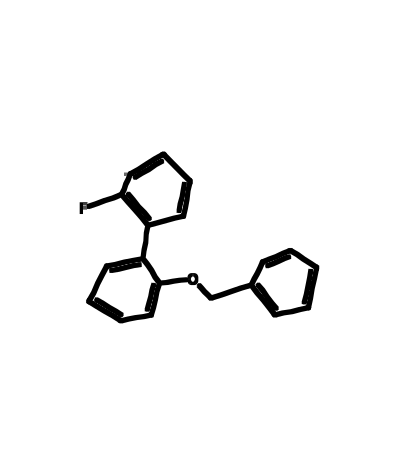 Fc1[c]cccc1-c1ccccc1OCc1ccccc1